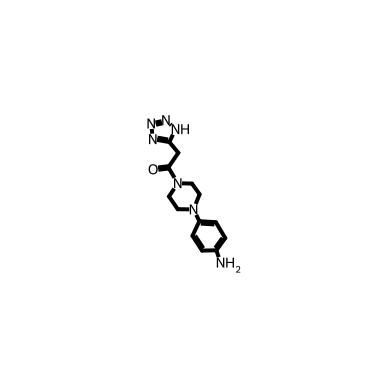 Nc1ccc(N2CCN(C(=O)Cc3nnn[nH]3)CC2)cc1